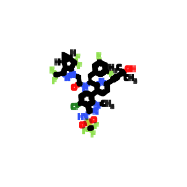 Cn1nc(NS(=O)(=O)C(F)(F)F)c2c(Cl)ccc(-c3ccc(C#CC(C)(C)O)nc3[C@H](Cc3cc(F)cc(F)c3)NC(=O)Cn3nc(C(F)F)c4c3C(F)(F)[C@@H]3C[C@H]43)c21